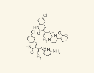 C[C@@H](Nc1nccc(N2CCCOC2=O)n1)c1cc2cc(Cl)ccc2[nH]c1=O.C[C@H](Nc1nccc(N)n1)c1cc2cc(Cl)ccc2[nH]c1=O